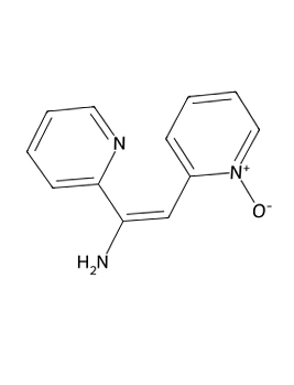 N/C(=C/c1cccc[n+]1[O-])c1ccccn1